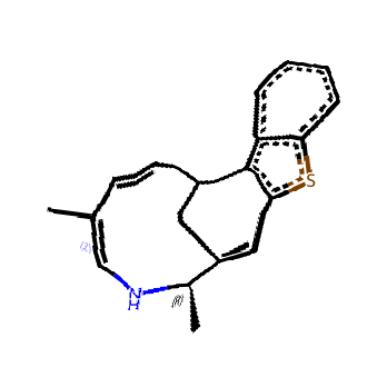 C/C1=C/N[C@H](C)C2=Cc3sc4ccccc4c3C(C=C1)C2